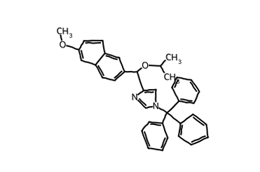 COc1ccc2cc(C(OC(C)C)c3cn(C(c4ccccc4)(c4ccccc4)c4ccccc4)cn3)ccc2c1